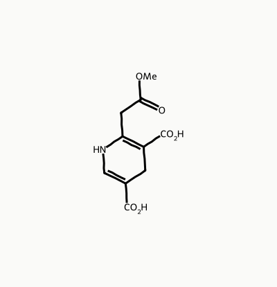 COC(=O)CC1=C(C(=O)O)CC(C(=O)O)=CN1